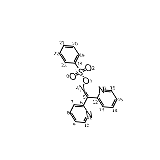 O=S(=O)(ON=C(c1ccccn1)c1ccccn1)c1ccccc1